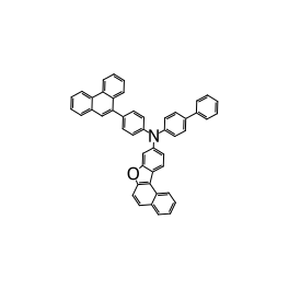 c1ccc(-c2ccc(N(c3ccc(-c4cc5ccccc5c5ccccc45)cc3)c3ccc4c(c3)oc3ccc5ccccc5c34)cc2)cc1